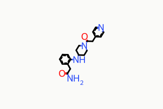 NC(=O)Cc1ccccc1NC1CCN(C(=O)Cc2ccncc2)CC1